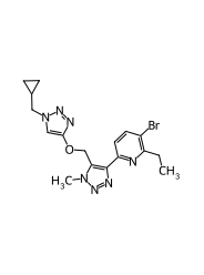 CCc1nc(-c2nnn(C)c2COc2cn(CC3CC3)nn2)ccc1Br